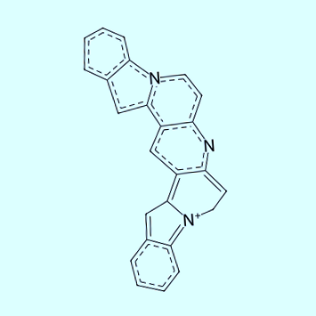 C1=c2ccccc2=[N+]2CC=c3nc4ccn5c6ccccc6cc5c4cc3=C12